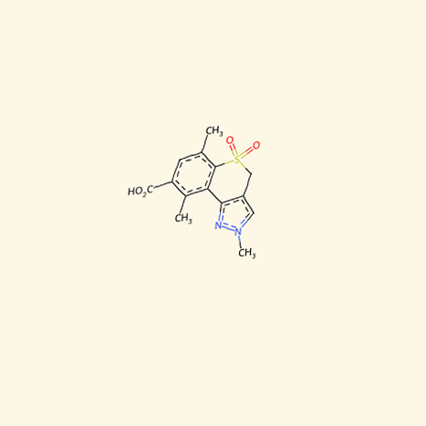 Cc1cc(C(=O)O)c(C)c2c1S(=O)(=O)Cc1cn(C)nc1-2